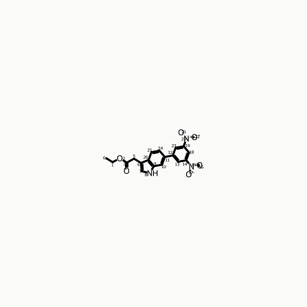 CCOC(=O)Cc1c[nH]c2cc(-c3cc([N+](=O)[O-])cc([N+](=O)[O-])c3)ccc12